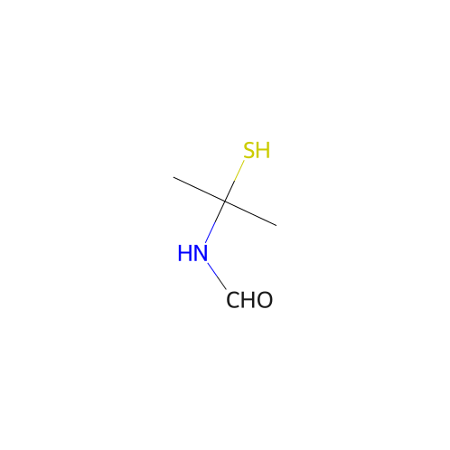 CC(C)(S)NC=O